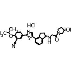 CC(C)Oc1ccc(-c2ncc(-c3cccc4c3CC[C@@H]4NCC(=O)N3CC[C@H](O)C3)s2)cc1C#N.Cl